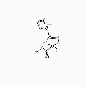 COC(=O)C1(C)CC=C(c2cccs2)S1